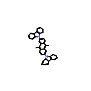 Cc1c2ccc(-n3c4c(c5ccccc53)C=CCC4)cc2c(C)c2ccc(N3C4=C(C=CCC4)C4C=CC=CC43)cc12